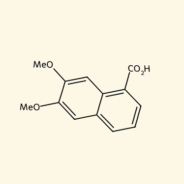 COc1cc2cccc(C(=O)O)c2cc1OC